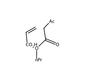 C=CC(=O)O.CCCOC(=O)CC(C)=O